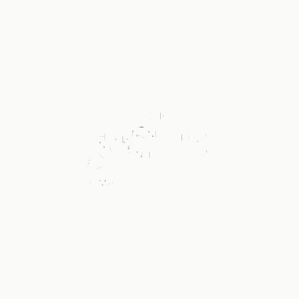 CCC1(CCCCCC(NC(=O)Cc2c(C)[nH]c3ccc(OC)cc23)c2ncc(C=O)[nH]2)OCCO1